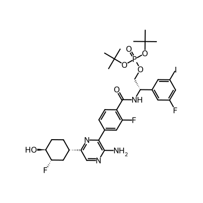 CC(C)(C)OP(=O)(OC[C@@H](NC(=O)c1ccc(-c2nc([C@H]3CC[C@H](O)[C@@H](F)C3)cnc2N)cc1F)c1cc(F)cc(I)c1)OC(C)(C)C